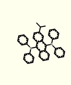 CC(C)c1ccc2c(N(c3ccccc3)c3ccccc3)c3ccccc3c(N(c3ccccc3)c3ccccc3)c2c1